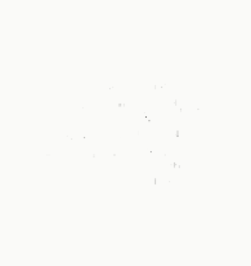 COc1ccc(-c2nc(NN)nc(N(C)C)n2)c2ccccc12